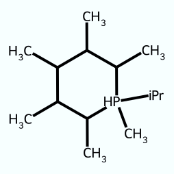 CC1C(C)C(C)[PH](C)(C(C)C)C(C)C1C